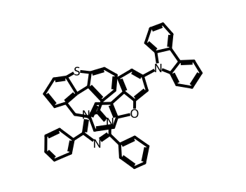 c1ccc(-c2nc(-c3ccccc3)nc(-c3cccc4sc5cccc(Cc6ccc7oc8cc(-n9c%10ccccc%10c%10ccccc%109)ccc8c7c6)c5c34)n2)cc1